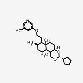 C=C1CCC2[C@]3(C)CO[C@@H](C4CCCC4)O[C@@H]3CC[C@@]2(C)[C@@H]1CCOc1cncc(O)c1